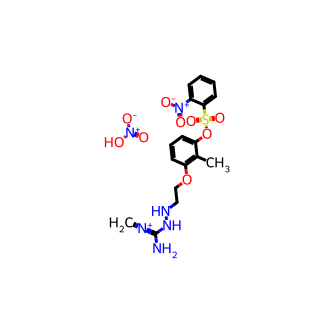 C=[N+]=C(N)NNCCOc1cccc(OS(=O)(=O)c2ccccc2[N+](=O)[O-])c1C.O=[N+]([O-])O